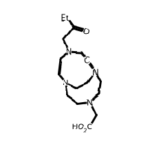 CCC(=O)CN1CCN2CCN(CCN(CC(=O)O)CC2)CC1